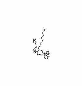 CCCCCCCCc1c(C#N)cnc2ccc([N+](=O)[O-])cc12